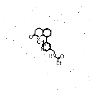 CCC(=O)NCc1cncc(-c2cccc3c2N(C)C(=O)CC3)c1